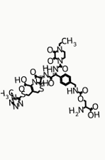 CCN1CCN(C(=O)N[C@@H](C(=O)N[C@@H]2C(=O)N3C(C(=O)O)=C(CSc4nnnn4C)CS[C@@H]23)c2ccc(CNC(=O)OCC(N)C(=O)O)cc2)C(=O)C1=O